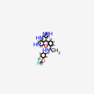 C=C(NCc1cccc(OC(F)(F)F)c1)c1cccc(C2C3=C(CNCC3=O)Nc3n[nH]cc32)c1